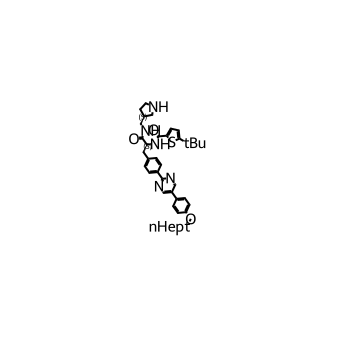 CCCCCCCOc1ccc(-c2cnc(-c3ccc(C[C@H](NC(=O)c4ccc(C(C)(C)C)s4)C(=O)NC[C@H]4CCNC4)cc3)nc2)cc1